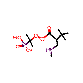 CPCC(C(=O)OOC(C)(C)P(=O)(O)O)C(C)(C)C